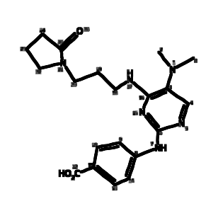 CN(C)c1cnc(Nc2ccc(C(=O)O)cc2)nc1NCCCN1CCCC1=O